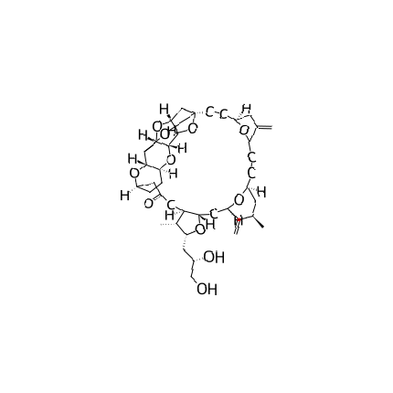 C=C1C[C@@H]2CC[C@@]34C[C@H]5O[C@H]6C(O3)[C@H]3O[C@H](CC[C@@H]3O[C@H]6[C@H]5O4)CC(=O)C[C@@H]3[C@@H](C)[C@@H](C[C@H](O)CO)O[C@H]3C[C@H]3O[C@@H](CCC1O2)C[C@@H](C)C3=C